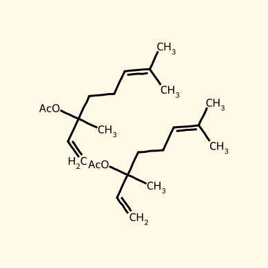 C=CC(C)(CCC=C(C)C)OC(C)=O.C=CC(C)(CCC=C(C)C)OC(C)=O